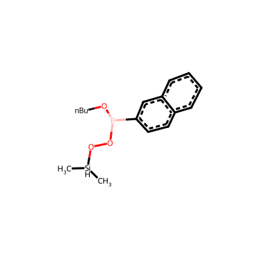 CCCCOB(OO[SiH](C)C)c1ccc2ccccc2c1